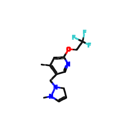 Cc1cc(OCC(F)(F)F)ncc1CN1CC=CN1C